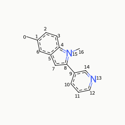 Cc1ccc2c(c1)cc(-c1cccnc1)n2C